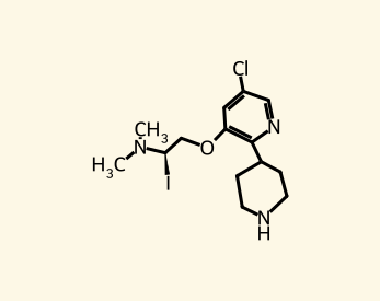 CN(C)[C@H](I)COc1cc(Cl)cnc1C1CCNCC1